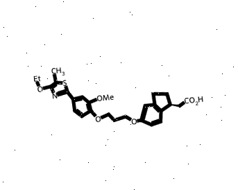 CCOc1nc(-c2ccc(OCCCOc3ccc4c(c3)CC[C@H]4CC(=O)O)c(OC)c2)sc1C